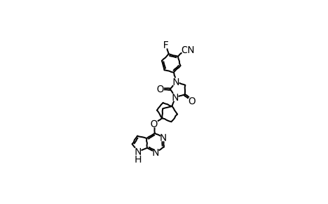 N#Cc1cc(N2CC(=O)N(C34CCC(Oc5ncnc6[nH]ccc56)(CC3)C4)C2=O)ccc1F